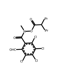 CC(C)C(C(=O)ON(C)C(=O)c1c(Cl)c(Cl)c(Cl)c(Cl)c1C=O)C(C)C